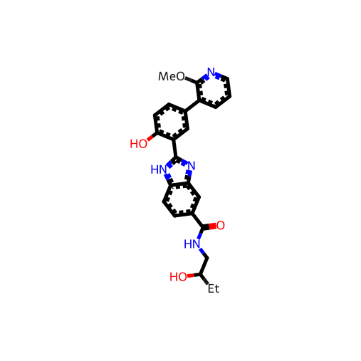 CCC(O)CNC(=O)c1ccc2[nH]c(-c3cc(-c4cccnc4OC)ccc3O)nc2c1